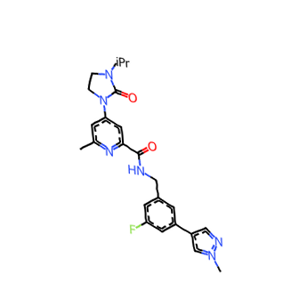 Cc1cc(N2CCN(C(C)C)C2=O)cc(C(=O)NCc2cc(F)cc(-c3cnn(C)c3)c2)n1